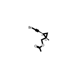 CC(=O)OC[C@@]1(C)C[C@@H]1C#CBr